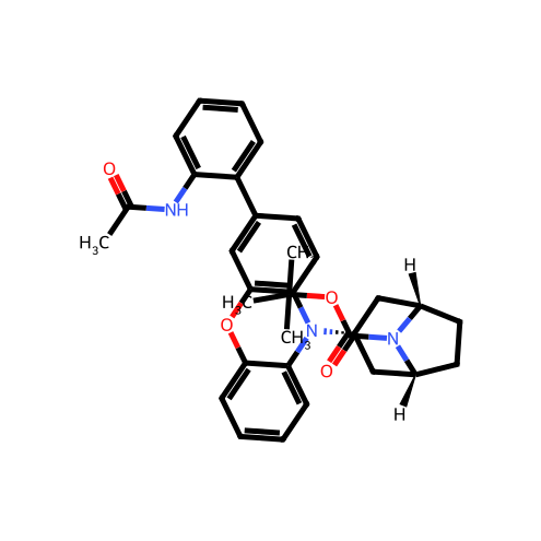 CC(=O)Nc1ccccc1-c1ccc2c(c1)Oc1ccccc1N2[C@H]1C[C@H]2CC[C@@H](C1)N2C(=O)OC(C)(C)C